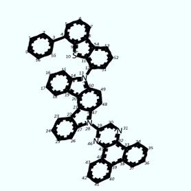 c1ccc(-c2cccc3c2sc2c(-n4c5ccccc5c5c6c7ccccc7n(-c7cnc8c9ccccc9c9ccccc9c8n7)c6ccc54)cccc23)cc1